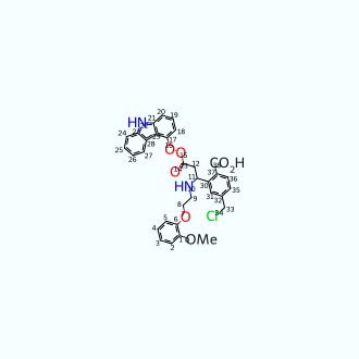 COc1ccccc1OCCNC(CC(=O)OOc1cccc2[nH]c3ccccc3c12)c1cc(CCl)ccc1C(=O)O